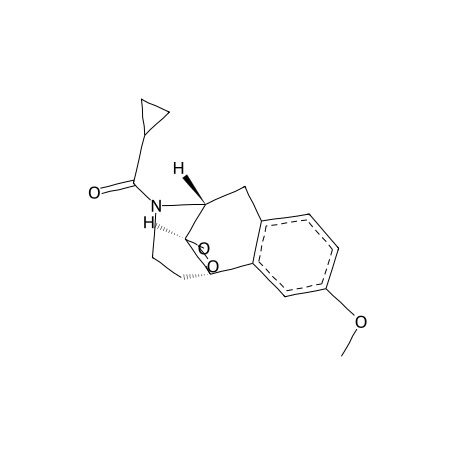 COc1ccc2c(c1)[C@]13CCN(C(=O)C4CC4)[C@H](C2)[C@@H]1OCOC3